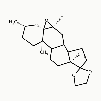 C[C@H]1CC[C@]2(C)C3CC[C@@]4(C)C(CCC45OCCO5)C3C[C@@H]3O[C@@]32C1